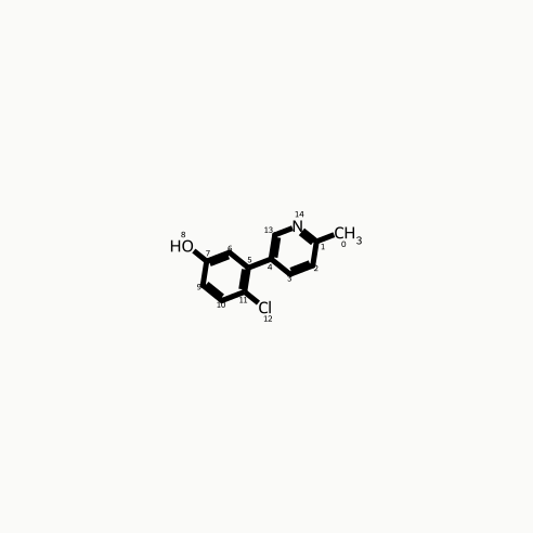 Cc1ccc(-c2cc(O)ccc2Cl)cn1